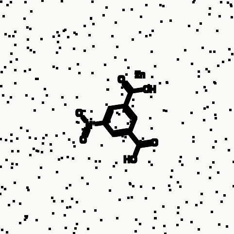 O=C(O)c1cc(C(=O)O)cc([N+](=O)[O-])c1.[Zn]